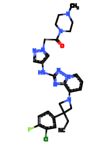 CN1CCN(C(=O)Cn2cc(Nc3nc4c(N5CC(CC#N)(c6ccc(F)c(Cl)c6)C5)cccn4n3)cn2)CC1